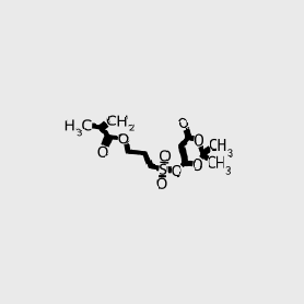 C=C(C)C(=O)OCCCS(=O)(=O)OC1=CC(=O)OC(C)(C)O1